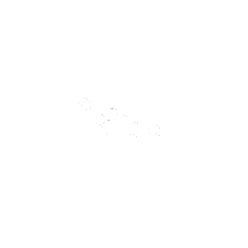 Cc1n[nH]c(C)c1-c1cn(C(C)C)c2cc(Nc3ccnc(-c4cnn(S(=O)(=O)C5CC5)c4)n3)ncc12